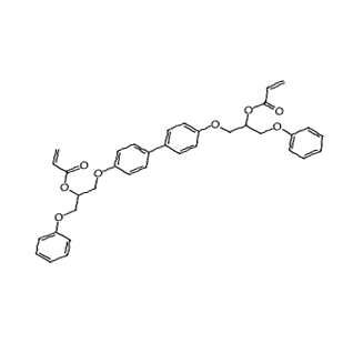 C=CC(=O)OC(COc1ccccc1)COc1ccc(-c2ccc(OCC(COc3ccccc3)OC(=O)C=C)cc2)cc1